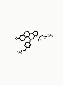 CCc1ccc([C@H]2CC3C(CC[C@@H]3C(=O)COC)C3CCC4=CC(=O)CCC4=C32)cc1